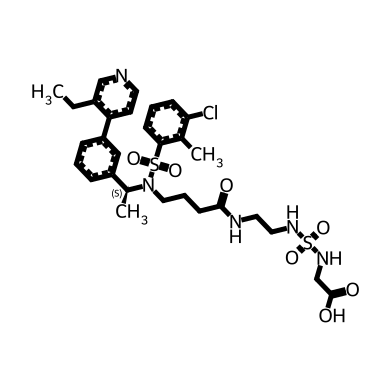 CCc1cnccc1-c1cccc([C@H](C)N(CCCC(=O)NCCNS(=O)(=O)NCC(=O)O)S(=O)(=O)c2cccc(Cl)c2C)c1